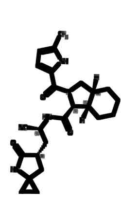 N#C[C@H](C[C@@H]1CC2(CC2)NC1=O)NC(=O)[C@@H]1[C@H]2CCCC[C@H]2CN1C(=O)c1ccc(C(F)(F)F)[nH]1